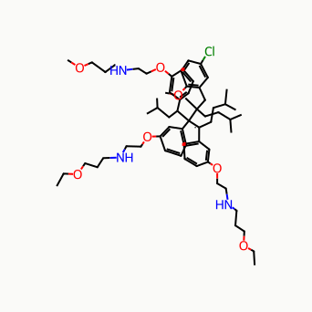 CCOCCCNCCOc1cccc([C](CCC(C)C)C(c2cccc(OCCNCCCOCC)c2)(C(CC(C)C)c2cccc(OCCNCCCOC)c2)C(C)(CCC(C)C)Cc2cc(Cl)ccc2OC)c1